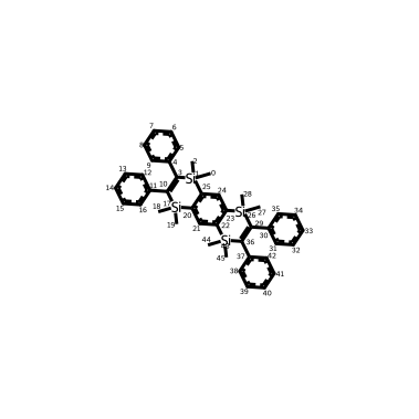 C[Si]1(C)C(c2ccccc2)=C(c2ccccc2)[Si](C)(C)c2cc3c(cc21)[Si](C)(C)C(c1ccccc1)=C(c1ccccc1)[Si]3(C)C